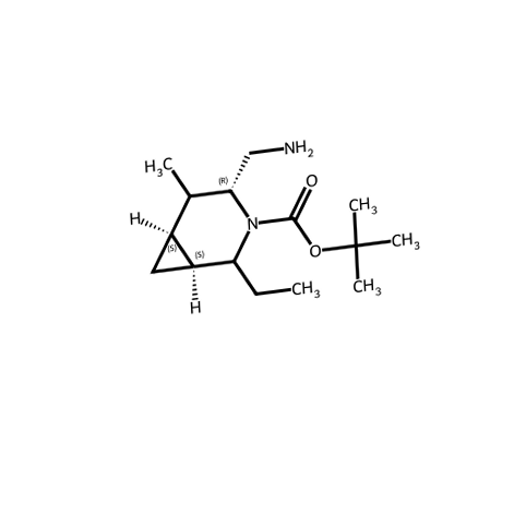 CCC1[C@H]2C[C@H]2C(C)[C@H](CN)N1C(=O)OC(C)(C)C